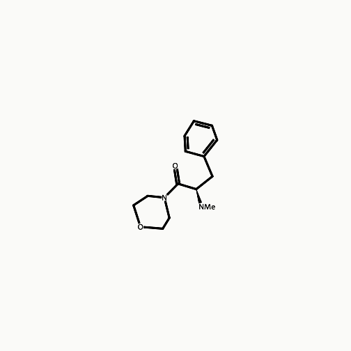 CN[C@H](Cc1ccccc1)C(=O)N1CCOCC1